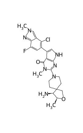 C[C@@H]1OCC2(CCN(c3nc4[nH]cc(-c5cc(F)c6nn(C)cc6c5Cl)c4c(=O)n3C)CC2)[C@@H]1N